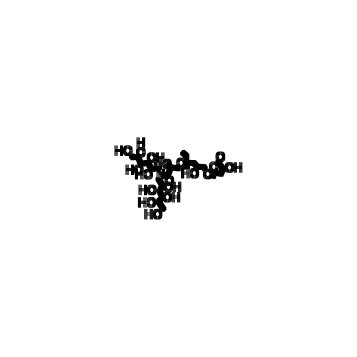 CCC(C)(CC(O)COC1(C)CC(O)C(=O)O1)OCC(O)C(=O)N(C[C@H](O)[C@@H](O)[C@H](O)[C@H](O)CO)C[C@H](O)[C@@H](O)[C@H](O)[C@H](O)CO